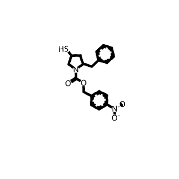 O=C(OCc1ccc([N+](=O)[O-])cc1)N1CC(S)CC1Cc1ccccc1